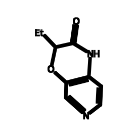 CCC1Oc2cnccc2NC1=O